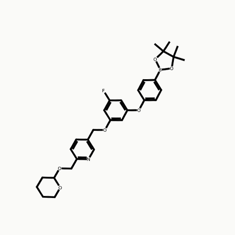 CC1(C)OB(c2ccc(Oc3cc(F)cc(OCc4ccc(COC5CCCCO5)nc4)c3)cc2)OC1(C)C